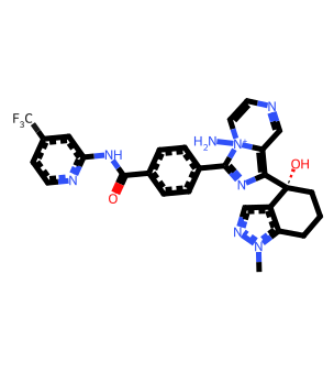 Cn1ncc2c1CCC[C@]2(O)C1=C2C=NC=C[N+]2(N)C(c2ccc(C(=O)Nc3cc(C(F)(F)F)ccn3)cc2)=N1